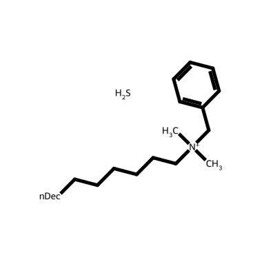 CCCCCCCCCCCCCCCC[N+](C)(C)Cc1ccccc1.S